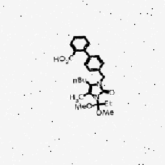 CCCCc1c(C)n(C(CC)(OC)OC)c(=O)n1Cc1ccc(-c2ccccc2C(=O)O)cc1